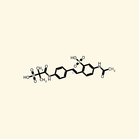 CC(=O)Nc1ccc(/C=C/c2ccc(NC(=O)C(C)(C)S(=O)(=O)O)cc2)c(S(=O)(=O)O)c1